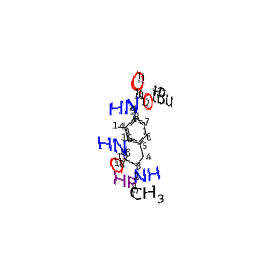 CPNC1Cc2ccc(NC(=O)OC(C)(C)C)cc2NC1=O